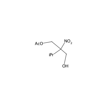 CC(=O)OCC(CO)(C(C)C)[N+](=O)[O-]